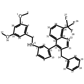 COc1cc(CNc2cccc(-c3c(Cc4ccccc4)cnc4c(C(F)(F)F)cccc34)c2)cc(OC)c1